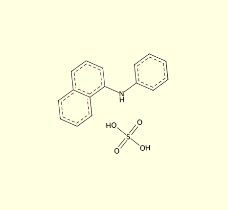 O=S(=O)(O)O.c1ccc(Nc2cccc3ccccc23)cc1